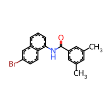 Cc1cc(C)cc(C(=O)Nc2cccc3cc(Br)ccc23)c1